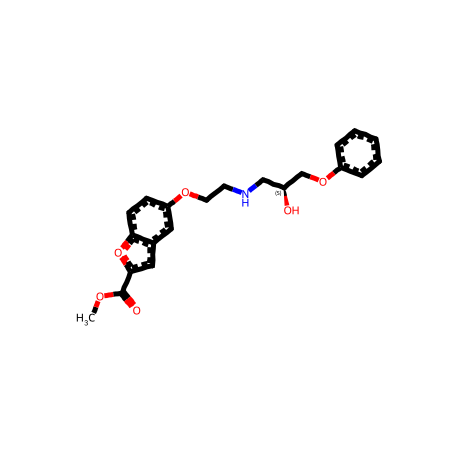 COC(=O)c1cc2cc(OCCNC[C@H](O)COc3ccccc3)ccc2o1